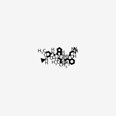 CCCC(NC(=O)[C@@H]1C2CCC[C@H]2CN1C(=O)[C@@H](NC(=O)[C@@H](NC(=O)Cc1nnn[nH]1)C1CCCCC1)C(C)(C)C)C(=O)C(=O)NC1CC1